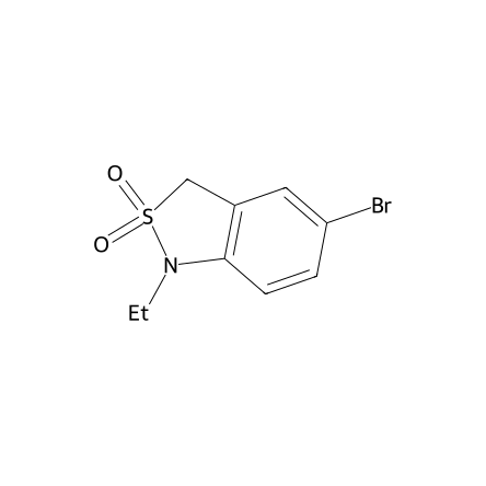 CCN1c2ccc(Br)cc2CS1(=O)=O